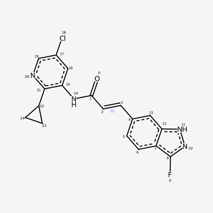 O=C(/C=C/c1ccc2c(F)n[nH]c2c1)Nc1cc(Cl)cnc1C1CC1